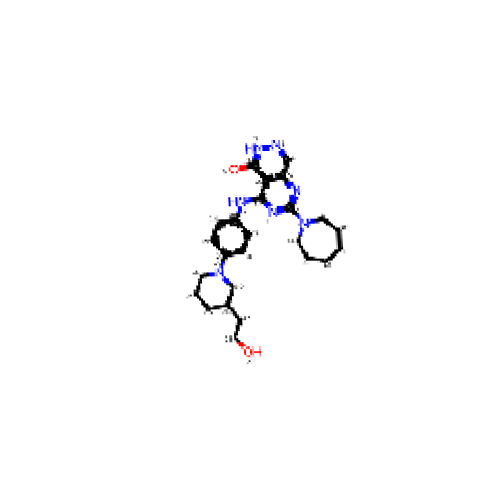 O=c1[nH]ncc2nc(N3CCCCCC3)nc(Nc3ccc(N4CCCC(CCO)C4)cc3)c12